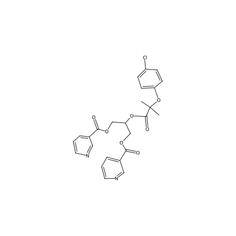 CC(C)(Oc1ccc(Cl)cc1)C(=O)OC(COC(=O)c1cccnc1)COC(=O)c1cccnc1